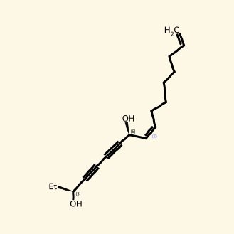 C=CCCCCC/C=C\[C@H](O)C#CC#C[C@@H](O)CC